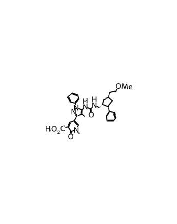 COCC[C@@H]1C[C@@H](CNC(=O)Nc2c(C)c(-c3cc(C(=O)O)c(=O)n(C)c3)nn2-c2ccccc2)[C@H](c2ccccc2)C1